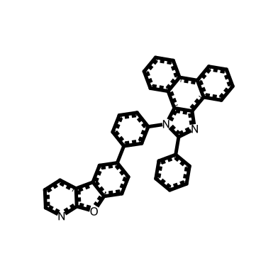 c1ccc(-c2nc3c4ccccc4c4ccccc4c3n2-c2cccc(-c3ccc4oc5ncccc5c4c3)c2)cc1